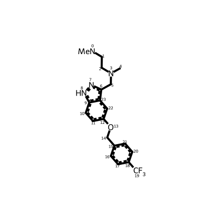 CNCCN(C)Cc1n[nH]c2ccc(OCc3ccc(C(F)(F)F)cc3)cc12